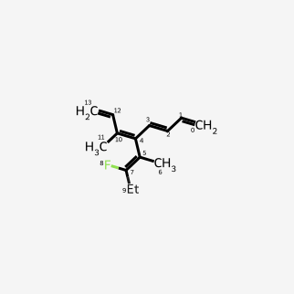 C=C/C=C/C(C(/C)=C(\F)CC)=C(/C)C=C